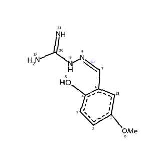 COc1ccc(O)c(/C=N\NC(=N)N)c1